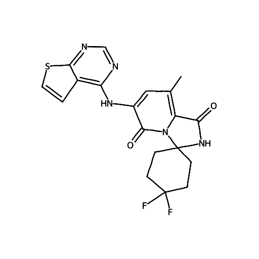 Cc1cc(Nc2ncnc3sccc23)c(=O)n2c1C(=O)NC21CCC(F)(F)CC1